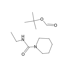 CC(C)(C)OC=O.CCNC(=O)N1CCCCC1